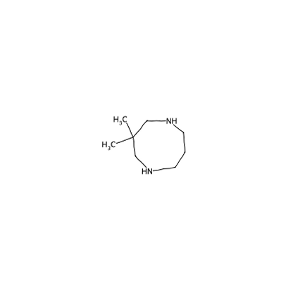 CC1(C)CNCCCNC1